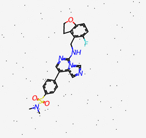 CN(C)S(=O)(=O)c1ccc(-c2cnc(NCc3c(F)ccc4c3CCO4)n3cncc23)cc1